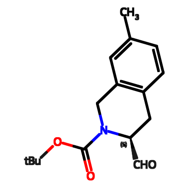 Cc1ccc2c(c1)CN(C(=O)OC(C)(C)C)[C@H](C=O)C2